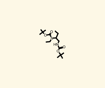 CC[C](CNC(=O)OC(C)(C)C)N(CC)C(=O)OC(C)(C)C